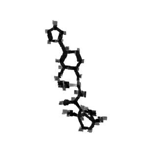 N[C@H](Cc1ccc(-c2ccsc2)cc1F)NC(=O)[C@H]1N[C@@H]2CC[C@H]1C2